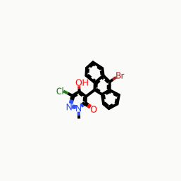 Cn1nc(Cl)c(O)c(-c2c3ccccc3c(Br)c3ccccc23)c1=O